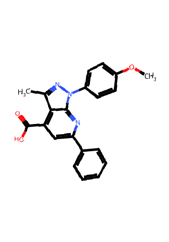 COc1ccc(-n2nc(C)c3c(C(=O)O)cc(-c4ccccc4)nc32)cc1